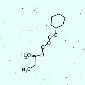 C=C(CC)OOOOOC1CCCCC1